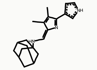 CC1=C(C)/C(=C\NC23CC4CC(CC(C4)C2)C3)N=C1c1cc[nH]c1